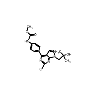 COC(=O)Nc1ccc(-c2nc(Cl)nc3c2cnn3CC(C)(C)O)cc1